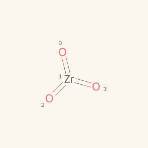 [O]=[Zr](=[O])=[O]